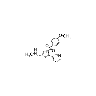 CNCc1cc(-c2cccnc2)n(S(=O)(=O)c2ccc(OC)cc2)c1